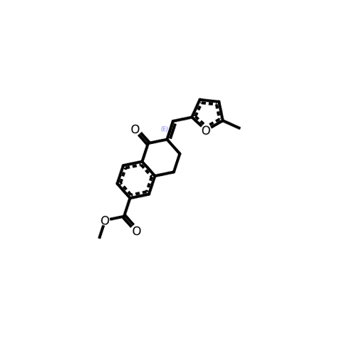 COC(=O)c1ccc2c(c1)CC/C(=C\c1ccc(C)o1)C2=O